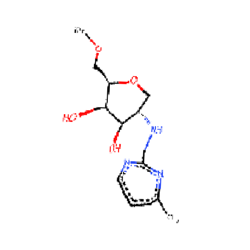 CC(C)OC[C@H]1OC[C@H](Nc2nccc(C(F)(F)F)n2)[C@@H](O)[C@H]1O